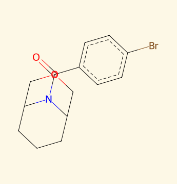 O=C(c1ccc(Br)cc1)N1C2CCCC1COC2